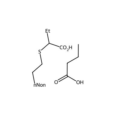 CCCC(=O)O.CCCCCCCCCCCSC(CC)C(=O)O